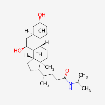 CC(C)NC(=O)CC[C@H](C)[C@@H]1CC[C@@H]2[C@@H]3[C@@H](CC[C@]21C)[C@]1(C)CC[C@H](O)C[C@@H]1C[C@@H]3O